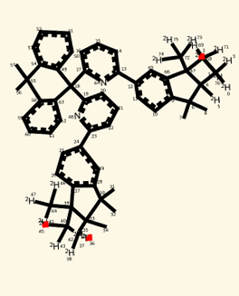 [2H]C([2H])([2H])C1([2H])C(C)(C)c2ccc(-c3cccc(C4(c5cccc(-c6ccc7c(c6)C(C)(C)C(C)(C([2H])([2H])[2H])C7(C([2H])([2H])[2H])C([2H])([2H])[2H])n5)c5ccccc5C(C)(C)c5ccccc54)n3)cc2C1(C([2H])([2H])[2H])C([2H])([2H])[2H]